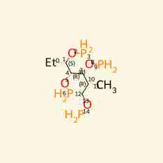 CC[C@H](OP)[C@@H](OP)[C@H](OP)[C@H](C)COP